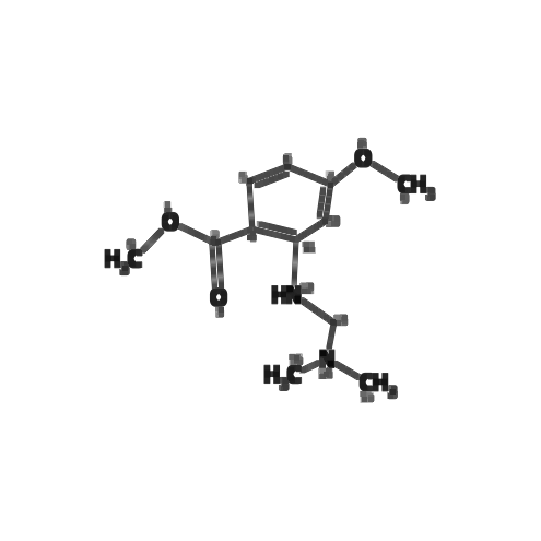 COC(=O)c1ccc(OC)cc1NCN(C)C